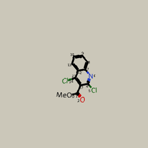 COC(=O)c1c(Cl)nc2ccccc2c1Cl